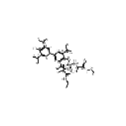 CCOC(=O)C(C)NP(=O)(NC(C)C(=O)OCC)Oc1c(C(C)C)cc(-c2cc(C(C)C)c(O)c(C(C)C)c2)cc1C(C)C